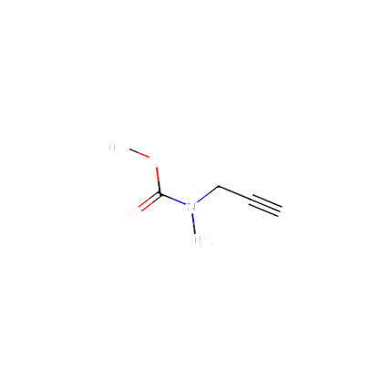 C#CCN(C(=O)OC(C)(C)C)C(C)(C)C